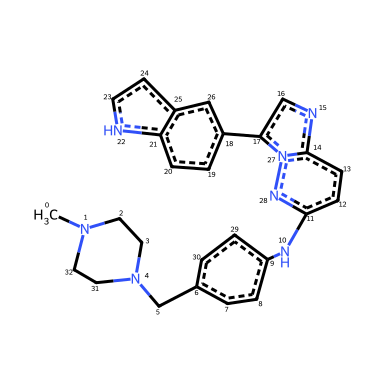 CN1CCN(Cc2ccc(Nc3ccc4ncc(-c5ccc6[nH]ccc6c5)n4n3)cc2)CC1